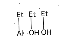 CCO.CCO.C[CH2][Al]